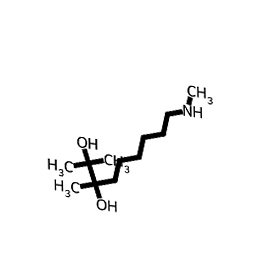 CNCCCCCCC(C)(O)C(C)(C)O